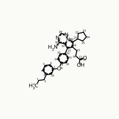 CCCc1cccc(Oc2ccc(-c3c(CCC(=O)O)c(C4CCCC4)n4ncnc(N)c34)cc2)c1